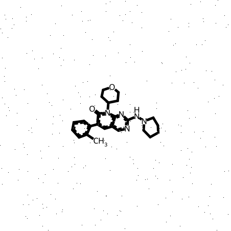 Cc1ccccc1-c1cc2cnc(NN3CCCCC3)nc2n(C2CCOCC2)c1=O